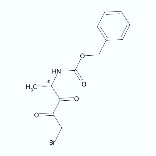 C[C@H](NC(=O)OCc1ccccc1)C(=O)C(=O)CBr